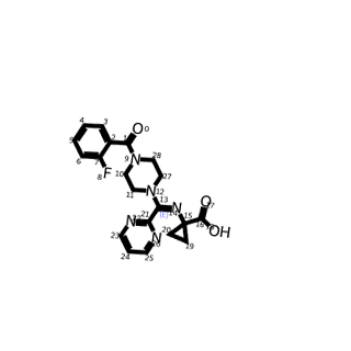 O=C(c1ccccc1F)N1CCN(/C(=N/C2(C(=O)O)CC2)c2ncccn2)CC1